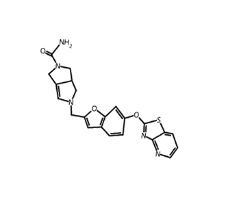 NC(=O)N1CC2=CN(Cc3cc4ccc(Oc5nc6ncccc6s5)cc4o3)CC2C1